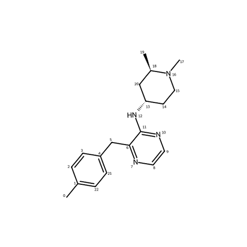 Cc1ccc(Cc2nccnc2N[C@H]2CCN(C)[C@H](C)C2)cc1